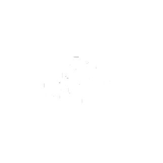 CCCCCC(C)[C@H](CC[C@H]1C(CC(=O)O)[C@@H](O)C[C@H]1O[C@@H]1C=CC=CO1)O[Si](C)(C)C(C)(C)C